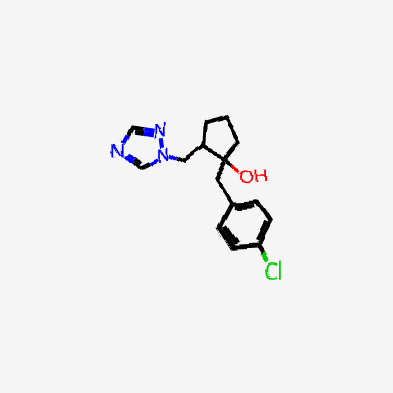 OC1(Cc2ccc(Cl)cc2)CCCC1Cn1cncn1